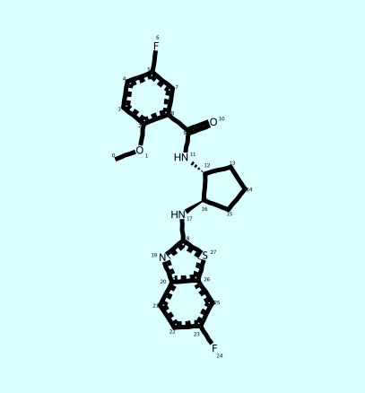 COc1ccc(F)cc1C(=O)N[C@@H]1CCC[C@H]1Nc1nc2ccc(F)cc2s1